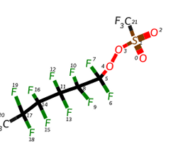 O=S(=O)(OOC(F)(F)C(F)(F)C(F)(F)C(F)(F)C(F)(F)C(F)(F)F)C(F)(F)F